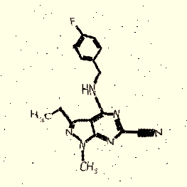 CCc1nn(C)c2nc(C#N)nc(NCc3ccc(F)cc3)c12